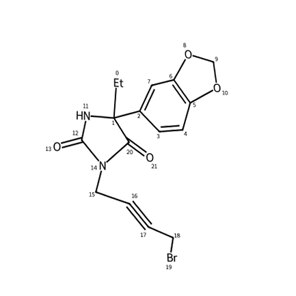 CCC1(c2ccc3c(c2)OCO3)NC(=O)N(CC#CCBr)C1=O